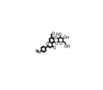 O=Cc1cc(OC2OC(CO)C(O)C(O)C2O)c2c(=O)cc(-c3ccc(N=O)cc3)oc2c1